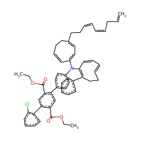 C=CC/C=C\C=C/CC/C1=C/C=C(N(C2=C(\c3ccccc3)CC/C=C/C=C\2)c2ccc(-c3cc(C(=O)OCC)c(-c4ccccc4Cl)cc3C(=O)OCC)cc2)\C=C/CC1